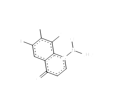 CN(C=O)n1ccc(=O)c2cc(F)c(F)c(F)c21